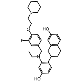 CCN(Cc1ccc(OCCN2CCCCC2)c(F)c1)c1cc(O)ccc1C1CCc2ccc(O)cc2C1